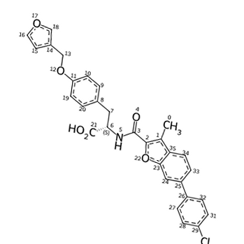 Cc1c(C(=O)N[C@@H](Cc2ccc(OCc3ccoc3)cc2)C(=O)O)oc2cc(-c3ccc(Cl)cc3)ccc12